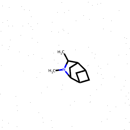 CC1C2CC(C3CC2C3)N1C